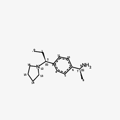 [CH2]C[C@@H](c1ccc([C@H](C)N)cc1)N1CCCC1